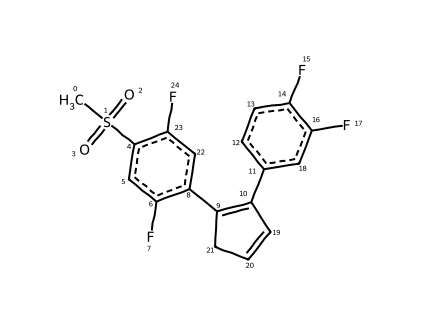 CS(=O)(=O)c1cc(F)c(C2=C(c3ccc(F)c(F)c3)C=CC2)cc1F